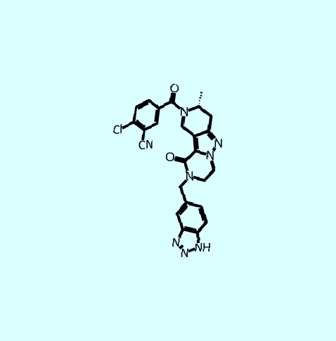 C[C@@H]1Cc2nn3c(c2CN1C(=O)c1ccc(Cl)c(C#N)c1)C(=O)N(Cc1ccc2[nH]nnc2c1)CC3